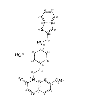 COc1ccc2ncc(=O)n(CCN3CCC(NCc4cc5ccccc5s4)CC3)c2c1.Cl